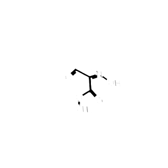 COC(=O)/C(C=O)=N\O